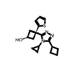 O[C@H]1C[C@](c2cccs2)(c2nnc(C3CCC3)n2C2CC2)C1